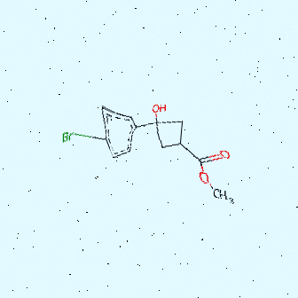 COC(=O)C1CC(O)(c2ccc(Br)cc2)C1